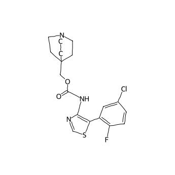 O=C(Nc1ncsc1-c1cc(Cl)ccc1F)OCC12CCN(CC1)CC2